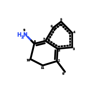 CC1=c2ccccc2=C(N)CC1